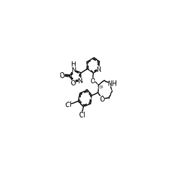 O=c1[nH]c(-c2cccnc2O[C@H]2CNCCOC2c2ccc(Cl)c(Cl)c2)no1